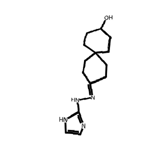 OC1CCC2(CCC(=NNc3ncc[nH]3)CC2)CC1